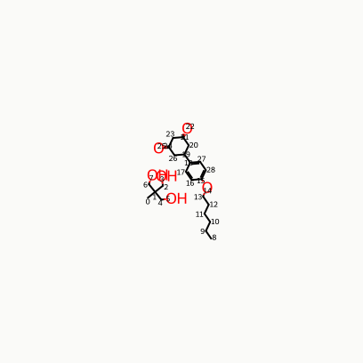 CC(CO)(CO)CO.CCCCCCOc1ccc(C2CC(=O)CC(=O)C2)cc1